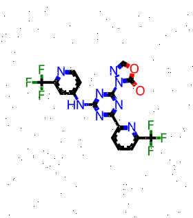 O=c1ocnn1-c1nc(Nc2ccnc(C(F)(F)F)c2)nc(-c2cccc(C(F)(F)F)n2)n1